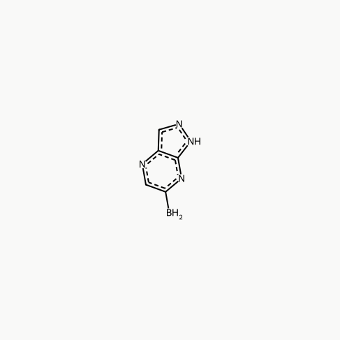 Bc1cnc2cn[nH]c2n1